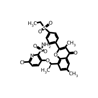 CCS(=O)(=O)c1ccc(-c2oc3c([C@@H](C)Oc4ccc(Cl)nc4S(N)(=O)=O)cc(C)cc3c(=O)c2C)cc1